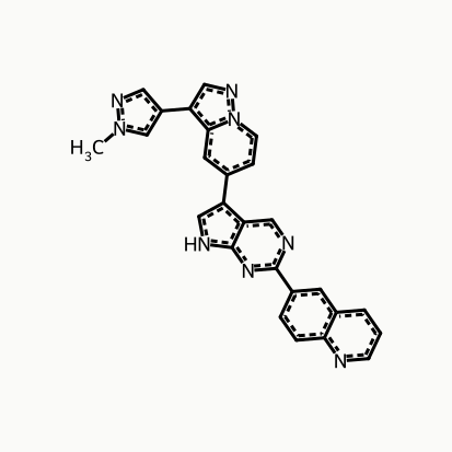 Cn1cc(-c2cnn3ccc(-c4c[nH]c5nc(-c6ccc7ncccc7c6)ncc45)cc23)cn1